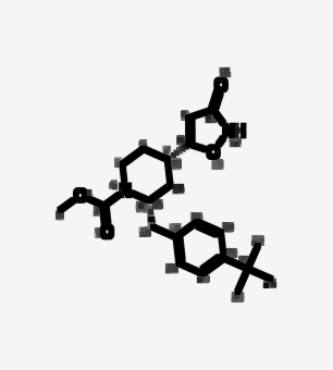 COC(=O)N1CC[C@H](c2cc(=O)[nH]o2)C[C@@H]1Cc1ccc(C(C)(C)C)cc1